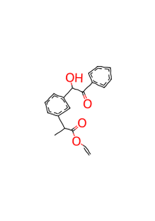 C=COC(=O)C(C)c1cccc(C(O)C(=O)c2ccccc2)c1